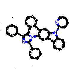 c1ccc(-c2nc(-c3ccccc3)n3c4cc5c6ccccc6n(-c6ccccn6)c5cc4c4ccccc4c23)cc1